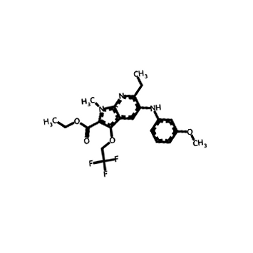 CCOC(=O)c1c(OCC(F)(F)F)c2cc(Nc3cccc(OC)c3)c(CC)nc2n1C